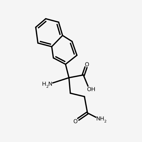 NC(=O)CCC(N)(C(=O)O)c1ccc2ccccc2c1